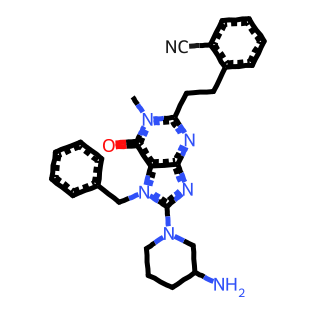 Cn1c(CCc2ccccc2C#N)nc2nc(N3CCCC(N)C3)n(Cc3ccccc3)c2c1=O